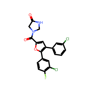 O=C1CN(C(=O)c2cc(-c3cccc(Cl)c3)c(-c3ccc(F)c(Cl)c3)o2)CN1